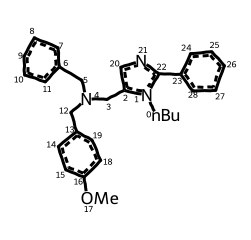 CCCCn1c(CN(Cc2ccccc2)Cc2ccc(OC)cc2)cnc1-c1ccccc1